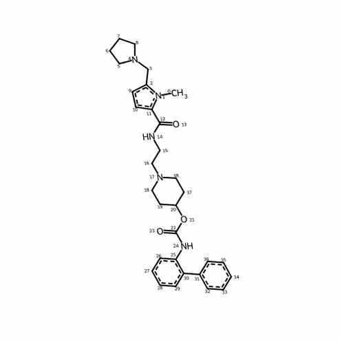 Cn1c(CN2CCCC2)ccc1C(=O)NCCN1CCC(OC(=O)Nc2ccccc2-c2ccccc2)CC1